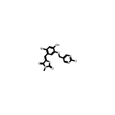 CN1C(=O)S/C(=C\c2cc(OCc3cnc(Cl)nc3)c(O)cc2Br)C1=O